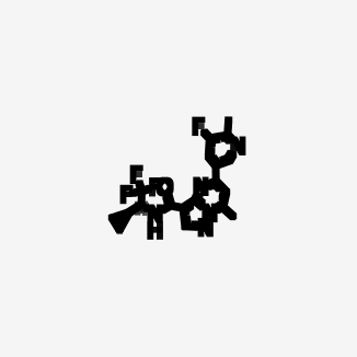 Cc1ncc(-c2cc(C)n3ncc(C(=O)N[C@@H](C4CC4)C(F)(F)F)c3n2)cc1F